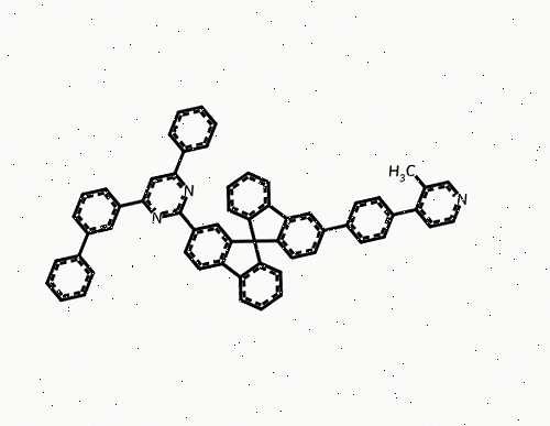 Cc1cnccc1-c1ccc(-c2ccc3c(c2)-c2ccccc2C32c3ccccc3-c3ccc(-c4nc(-c5ccccc5)cc(-c5cccc(-c6ccccc6)c5)n4)cc32)cc1